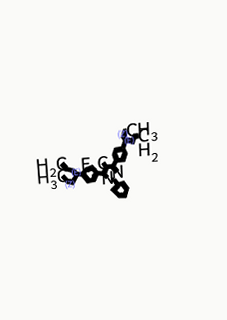 C=C/C=C(\C=C/C)c1ccc(-c2nc(-c3ccccc3)nc(-c3ccc(C(/C=C\C)=C/C=C)cc3)c2C(F)(F)F)cc1